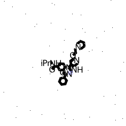 CC(C)NC(=O)C1CCC(n2/c(=N\C(=O)C3CCCCC3)[nH]c3cnc(OCCN4CCCCC4)cc32)CC1